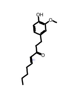 CCCC/C=C/C(=O)CCc1ccc(O)c(OC)c1